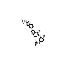 Nc1nc2cc(-c3cnc4c(c3)C(=O)N(Cc3cc(OC(F)(F)F)ccc3F)CC4)ccc2o1